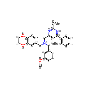 CCCCc1c(CN(Cc2cccc(OCC)c2)Cc2ccc3c(c2)OCCO3)nc(OC)nc1-c1ccccc1